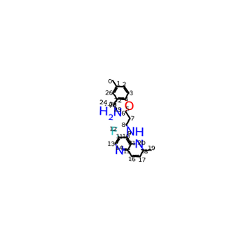 Cc1ccc(OCCCNc2c(F)cnc3ccc(C)nc23)c([C@@H](C)N)c1